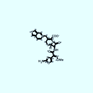 CON=C(C(=O)NC1C(=O)N2C(C(=O)[O-])=C(C[n+]3ccc4cscc4c3)CS[C@@H]12)c1coc(N)n1